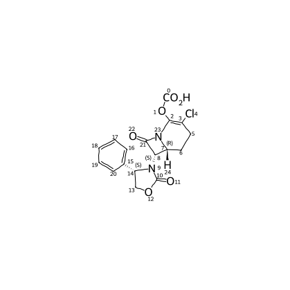 O=C(O)OC1=C(Cl)CC[C@@H]2[C@H](N3C(=O)OC[C@@H]3c3ccccc3)C(=O)N12